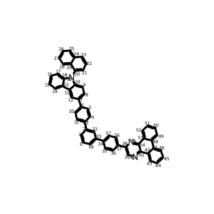 c1cc(-c2ccc(-c3ccc4c(c3)c3ccccc3n4-c3cccc4ccccc34)cc2)cc(-c2ccc(-c3cnc4c5ccccc5c5ccccc5c4n3)cc2)c1